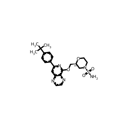 CC(C)(C)c1ccc(-c2cc3nccnc3c(OC[C@@H]3CN(S(N)(=O)=O)CCO3)n2)cc1